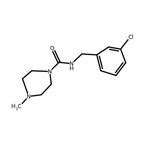 CN1CCN(C(=O)NCc2cccc(Cl)c2)CC1